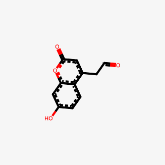 O=[C]Cc1cc(=O)oc2cc(O)ccc12